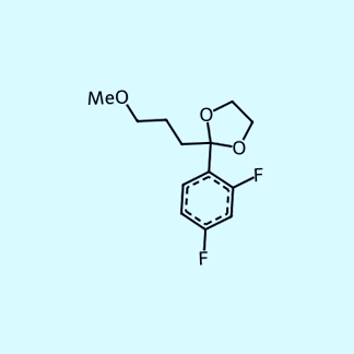 COCCCC1(c2ccc(F)cc2F)OCCO1